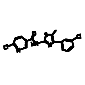 Cc1sc(NC(=O)c2ccc(Cl)nc2)nc1-c1cccc(Cl)c1